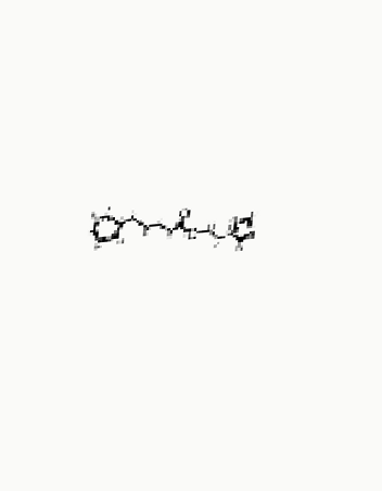 O=C(CCCCc1ccccc1)OCCc1ccsc1